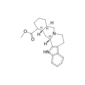 COC(=O)C1CCC[C@H]2CN3CCc4c([nH]c5ccccc45)[C@@H]3C[C@H]12